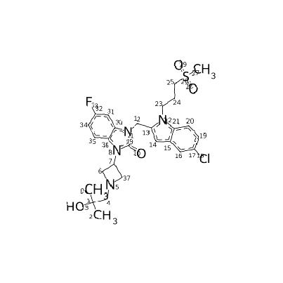 CC(C)(O)CN1CC(n2c(=O)n(Cc3cc4cc(Cl)ccc4n3CCCS(C)(=O)=O)c3cc(F)ccc32)C1